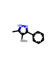 CNc1c(-c2ccccc2)n[nH]c1C